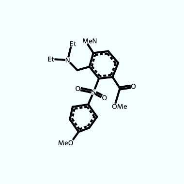 CCN(CC)Cc1c(NC)ccc(C(=O)OC)c1S(=O)(=O)c1ccc(OC)cc1